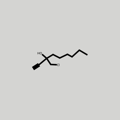 C#CC(O)(CCl)CCCCCC